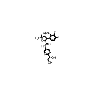 COc1c(C2[C@H](C(=O)Nc3cnc([C@H](O)CO)nc3)O[C@@](C)(C(F)(F)F)[C@H]2C)ccc(F)c1F